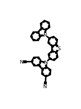 N#Cc1ccc2c(c1)c1cc(C#N)ccc1n2-c1ccc2sc3ccc(-n4c5ccccc5c5ccccc54)cc3c2c1